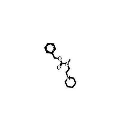 CN(CCN1CCCCC1)C(=O)OCc1ccccc1